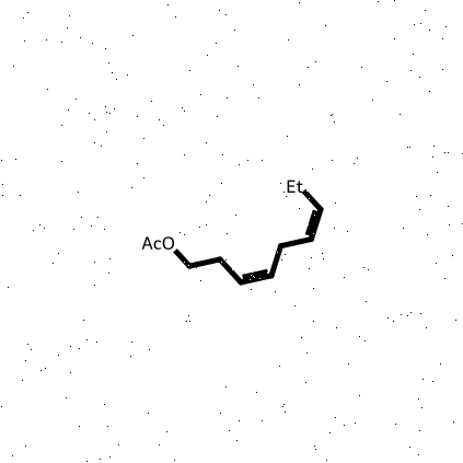 CC/C=C\C/C=C\CCOC(C)=O